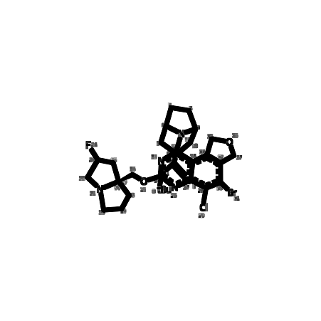 CC(C)(C)OC(=O)N1CC2CCC(C1)N2c1nc(OC[C@@]23CCCN2CC(F)C3)nc2c(Cl)c(Br)c3c(c12)COC3